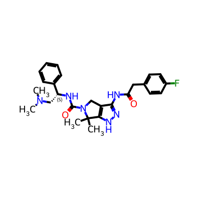 CN(C)C[C@@H](NC(=O)N1Cc2c(NC(=O)Cc3ccc(F)cc3)n[nH]c2C1(C)C)c1ccccc1